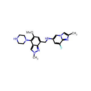 COc1cc(CNc2cc(F)c3nc(C)cn3c2)c2nn(C)cc2c1N1CCNCC1